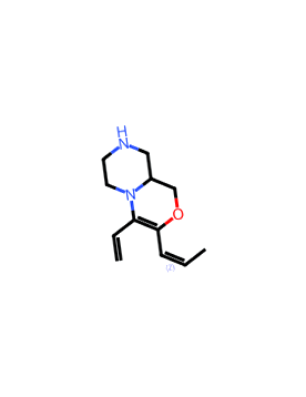 C=CC1=C(/C=C\C)OCC2CNCCN12